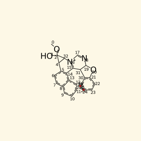 COC1(O)C2c3ccc4ccccc4c3C3=[N+](C=NC4Oc5ccc6ccccc6c5C34)C21